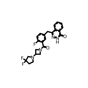 O=C(c1cc(Cc2n[nH]c(=O)c3ccccc23)ccc1F)N1CC(N2CCC(F)(F)C2)C1